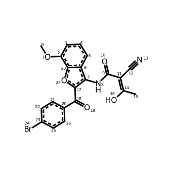 COc1cccc2c(NC(=O)C(C#N)=C(C)O)c(C(=O)c3ccc(Br)cc3)oc12